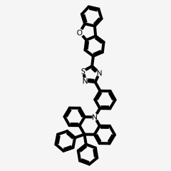 c1ccc(C2(c3ccccc3)c3ccccc3N(c3cccc(-c4nsc(-c5ccc6c(c5)oc5ccccc56)n4)c3)c3ccccc32)cc1